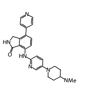 CNC1CCN(c2ccc(Nc3ccc(-c4ccncc4)c4c3C(=O)NC4)nc2)CC1